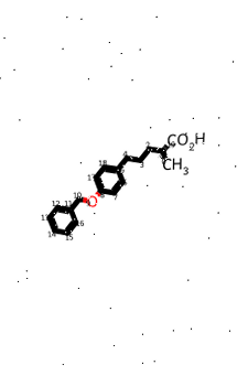 CC(CCCc1ccc(OCc2ccccc2)cc1)C(=O)O